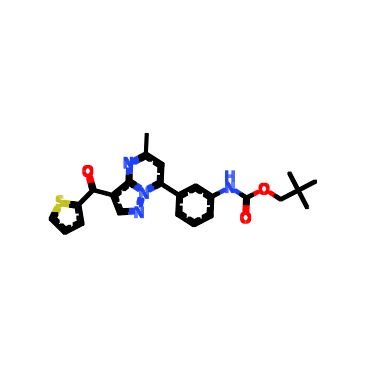 Cc1cc(-c2cccc(NC(=O)OCC(C)(C)C)c2)n2ncc(C(=O)c3cccs3)c2n1